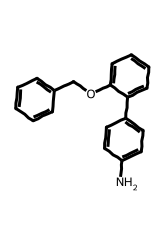 Nc1ccc(-c2ccccc2OCc2ccccc2)cc1